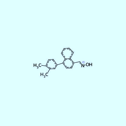 Cc1ccc(-c2ccc(/C=N/O)c3ccccc23)cc1C